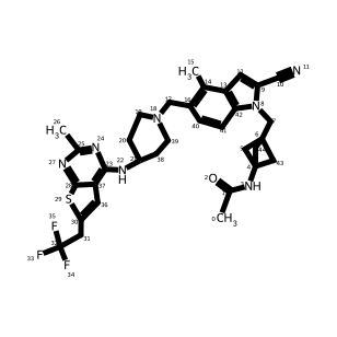 CC(=O)NC12CC(Cn3c(C#N)cc4c(C)c(CN5CCC(Nc6nc(C)nc7sc(CC(F)(F)F)cc67)CC5)ccc43)(C1)C2